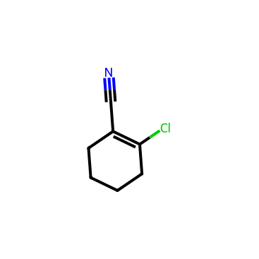 N#CC1=C(Cl)CCCC1